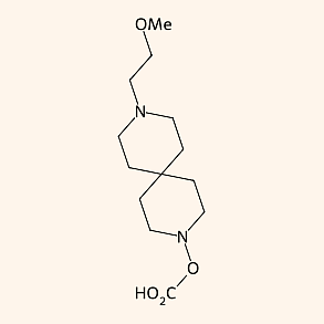 COCCN1CCC2(CC1)CCN(OC(=O)O)CC2